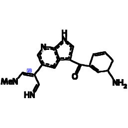 CN/C=C(\C=N)c1cnc2[nH]cc(C(=O)C3=CC(N)CC=C3)c2c1